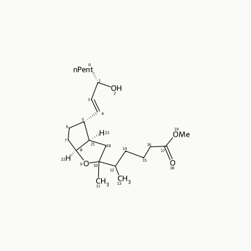 CCCCC[C@H](O)/C=C/[C@H]1CC[C@@H]2OC(C)(C(C)CCCC(=O)OC)C[C@@H]21